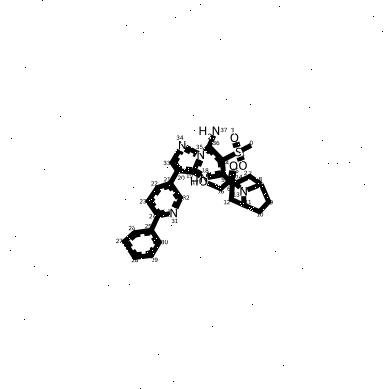 CS(=O)(=O)c1c(C2CC3CCC(C2)N3C(=O)CO)nc2c(-c3ccc(-c4ccccc4)nc3)cnn2c1N